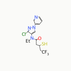 CCN(C(=O)CC(S)CC(F)(F)F)c1cn(-c2cccnc2)nc1Cl